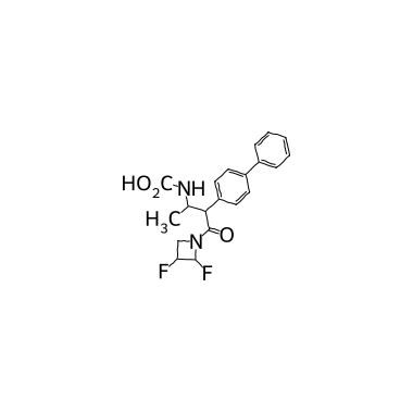 CC(NC(=O)O)C(C(=O)N1CC(F)C1F)c1ccc(-c2ccccc2)cc1